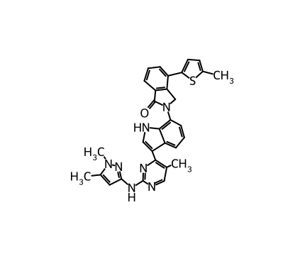 Cc1ccc(-c2cccc3c2CN(c2cccc4c(-c5nc(Nc6cc(C)n(C)n6)ncc5C)c[nH]c24)C3=O)s1